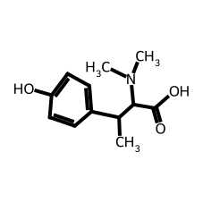 CC(c1ccc(O)cc1)C(C(=O)O)N(C)C